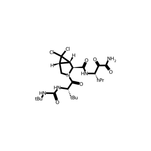 CCC[C@H](NC(=O)[C@@H]1[C@@H]2[C@H](CN1C(=O)[C@@H](NC(=O)NC(C)(C)C)C(C)(C)C)C2(Cl)Cl)C(=O)C(N)=O